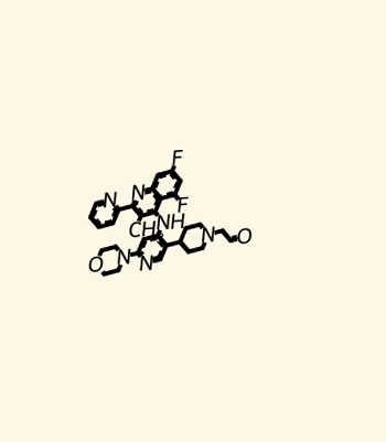 Cc1c(-c2ccccn2)nc2cc(F)cc(F)c2c1Nc1cc(N2CCOCC2)ncc1C1CCN(CC=O)CC1